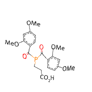 COc1ccc(C(=O)P(CCC(=O)O)C(=O)c2ccc(OC)cc2OC)c(OC)c1